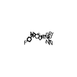 CCCC(C[C@H]1CCC2=C1[C@@H](C)c1cnn(-c3ccc(F)cc3)c1C2)NC(=O)c1cncn1C